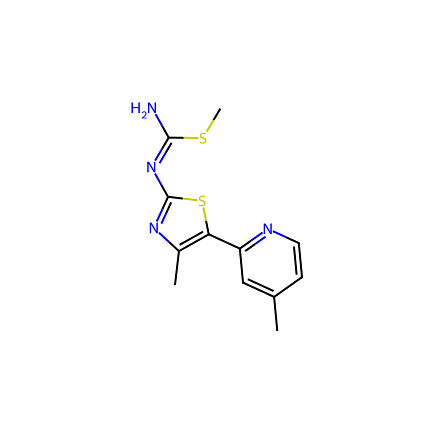 CSC(N)=Nc1nc(C)c(-c2cc(C)ccn2)s1